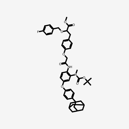 COC(=O)C(Cc1ccc(OCC(=O)Nc2ccc(Oc3ccc(C45CC6CC(CC(C6)C4)C5)cc3)cc2N(C)C(=O)OC(C)(C)C)cc1)OCc1ccc(F)cc1